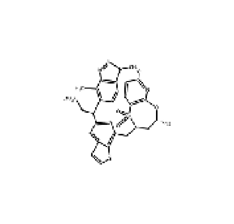 CCOC(=O)C[C@H](c1cc(CN2C[C@@H](CC)Oc3nc(Cl)ccc3S2(=O)=O)c2sccc2c1)c1ccc2c(nnn2C)c1C